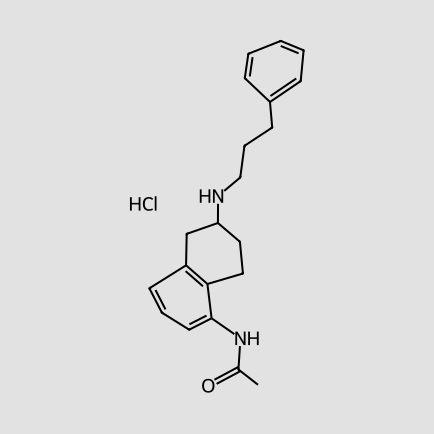 CC(=O)Nc1cccc2c1CCC(NCCCc1ccccc1)C2.Cl